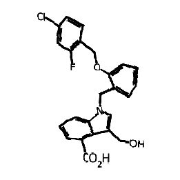 O=C(O)c1cccc2c1c(CO)cn2Cc1ccccc1OCc1ccc(Cl)cc1F